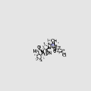 C/N=C(\Nc1ccc(-n2c(=O)[nH]c3ccccc3c2=O)c(C#N)c1)NS(=O)(=O)c1ccc(Cl)s1